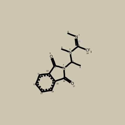 C/N=C(\N(C)C(C)N1C(=O)c2ccccc2C1=O)C(F)(F)F